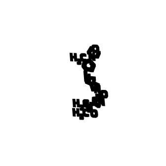 CC(=O)N(C)c1cnn(C(=O)N2CC3CN(Cc4ccc(N5CCOCC5)c(C)c4)CC3C2)c1